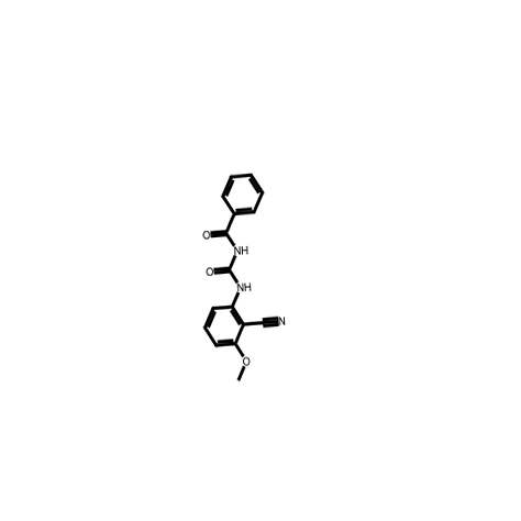 COc1cccc(NC(=O)NC(=O)c2ccccc2)c1C#N